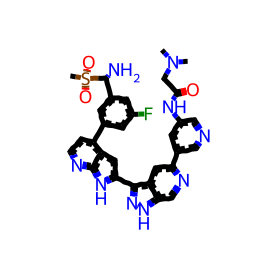 CN(C)CC(=O)Nc1cncc(-c2cc3c(-c4cc5c(-c6cc(F)cc(C(N)S(C)(=O)=O)c6)ccnc5[nH]4)n[nH]c3cn2)c1